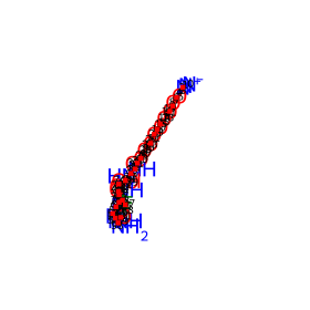 [N-]=[N+]=NCCOCCOCCOCCOCCOCCOCCOCCOCCOCCC(=O)NCCNC(=O)CC[C@H](NC(=O)c1ccc(N(Cc2cnc3nc(N)[nH]c(=O)c3n2)C(=O)C(F)(F)F)cc1)C(=O)O